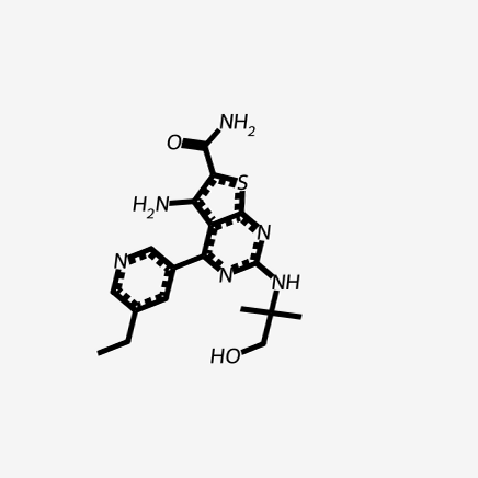 CCc1cncc(-c2nc(NC(C)(C)CO)nc3sc(C(N)=O)c(N)c23)c1